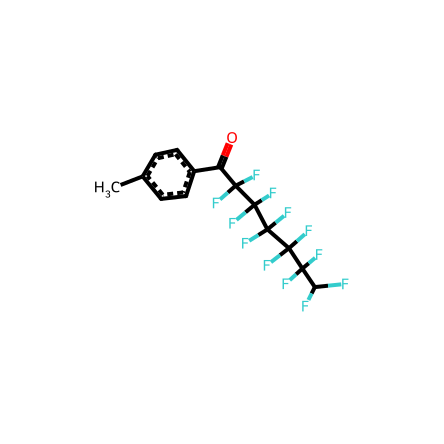 Cc1ccc(C(=O)C(F)(F)C(F)(F)C(F)(F)C(F)(F)C(F)(F)C(F)F)cc1